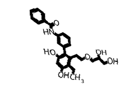 CCc1c(O)cc(O)c(-c2cccc(NC(=O)c3ccccc3)c2)c1CCOCC(O)CO